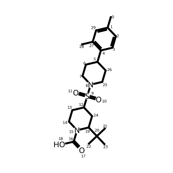 Cc1ccc(C2CCN(S(=O)(=O)C3CCN(C(=O)O)C(C(C)(C)C)C3)CC2)c(C)c1